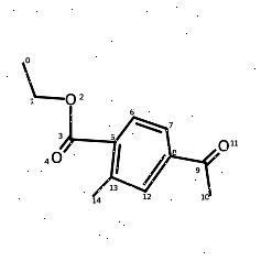 CCOC(=O)c1ccc(C(C)=O)cc1C